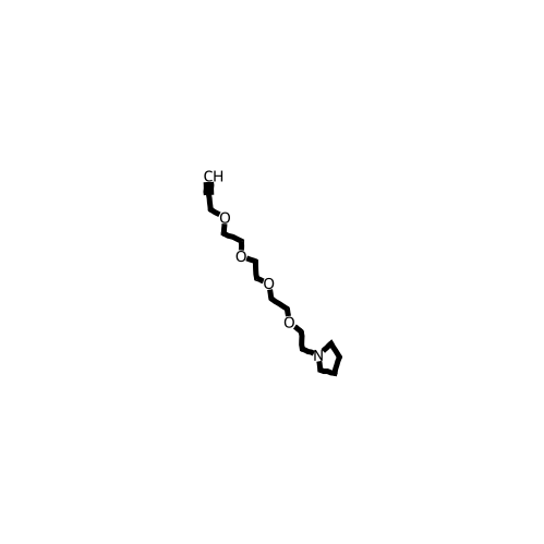 C#CCOCCOCCOCCOCCN1CCCC1